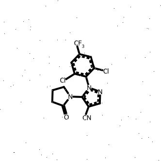 N#Cc1cnn(-c2c(Cl)cc(C(F)(F)F)cc2Cl)c1N1CCCC1=O